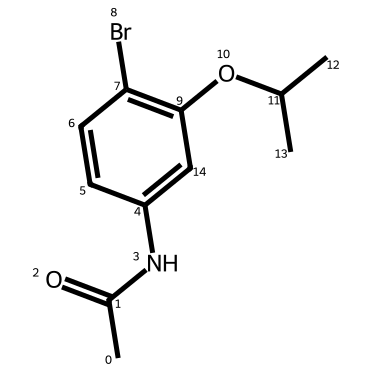 CC(=O)Nc1ccc(Br)c(OC(C)C)c1